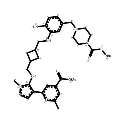 COC(=O)c1cc(C)nc(-c2cnn(C)c2OCC2CC(CNc3cc(CN4CCN(C(=O)OC(C)(C)C)CC4)ccc3N)C2)c1